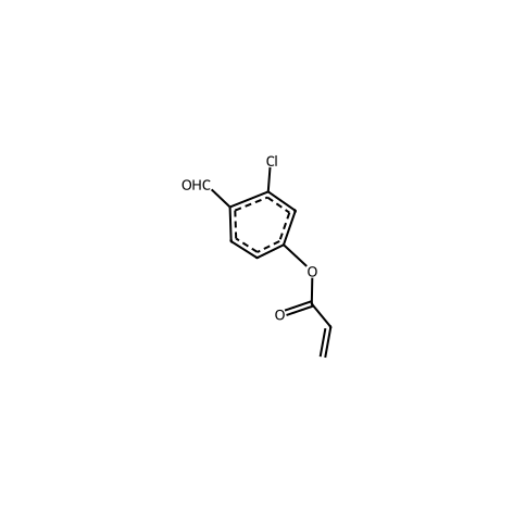 C=CC(=O)Oc1ccc(C=O)c(Cl)c1